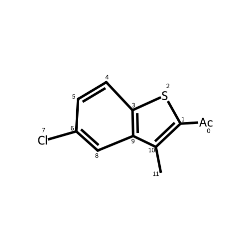 CC(=O)c1sc2ccc(Cl)cc2c1C